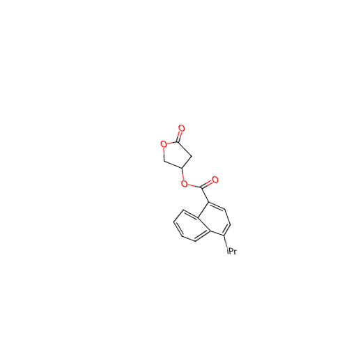 CC(C)c1ccc(C(=O)OC2COC(=O)C2)c2ccccc12